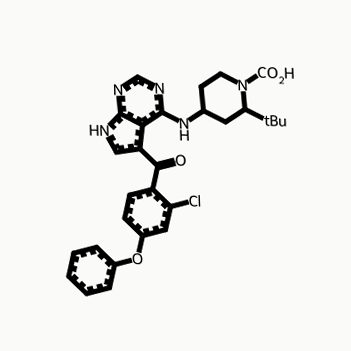 CC(C)(C)C1CC(Nc2ncnc3[nH]cc(C(=O)c4ccc(Oc5ccccc5)cc4Cl)c23)CCN1C(=O)O